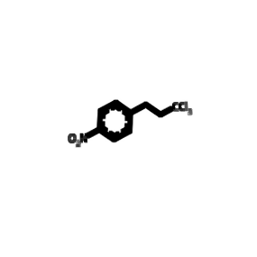 O=[N+]([O-])c1ccc(CCC(Cl)(Cl)Cl)cc1